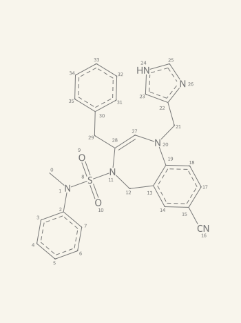 CN(c1ccccc1)S(=O)(=O)N1Cc2cc(C#N)ccc2N(Cc2c[nH]cn2)C=C1Cc1ccccc1